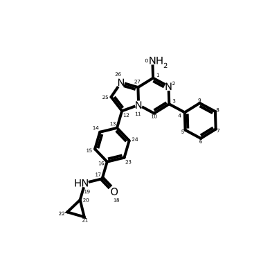 Nc1nc(-c2ccccc2)cn2c(-c3ccc(C(=O)NC4CC4)cc3)cnc12